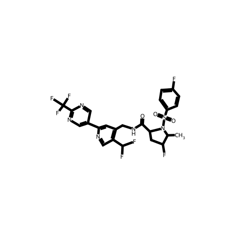 CC1C(F)CC(C(=O)NCc2cc(-c3cnc(C(F)(F)F)nc3)ncc2C(F)F)N1S(=O)(=O)c1ccc(F)cc1